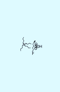 C#CCC(CCCF)S(=O)(=O)O.CCCC[N+](CCCC)(CCCC)CCCC